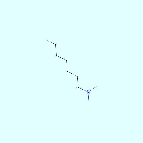 CCCCCC[CH]N(C)C